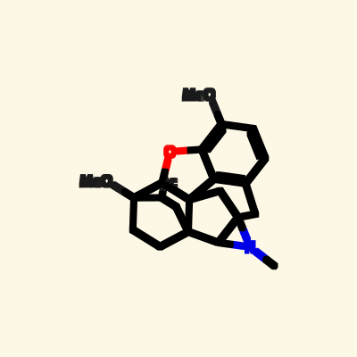 COc1ccc2c3c1OC1C4(OC)CCC5(CC4C(C)=O)C4N(C)C4(C2)CC315